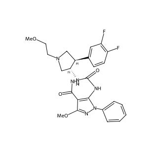 COCCN1C[C@@H](NC(=O)Nc2c(C(N)=O)c(OC)nn2-c2ccccc2)[C@H](c2ccc(F)c(F)c2)C1